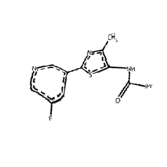 Cc1nc(-c2cncc(F)c2)sc1NC(=O)C(C)C